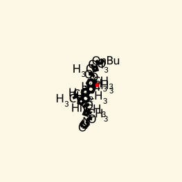 C=C(C)[C@@H]1CC[C@]2(C(=O)N[C@H]3C[C@@H](C(=O)N4CCOCC4)C3(C)C)CC[C@]3(C)[C@H](CC[C@@H]4[C@@]5(C)CC[C@H](OC(=O)[C@H]6C[C@@H](C(=O)OCCCC)C6(C)C)C(C)(C)[C@@H]5CC[C@]43C)C12